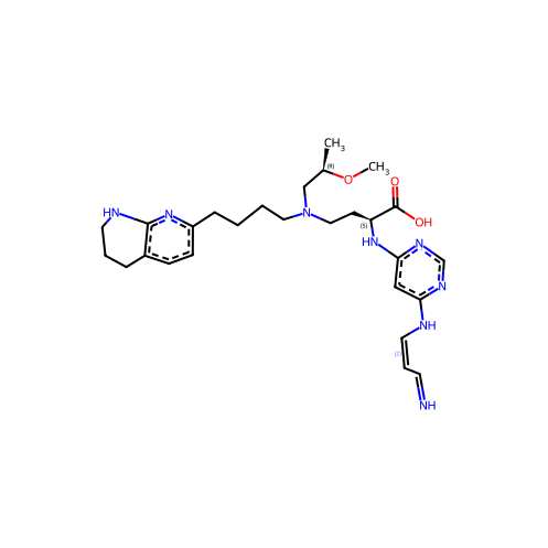 CO[C@H](C)CN(CCCCc1ccc2c(n1)NCCC2)CC[C@H](Nc1cc(N/C=C\C=N)ncn1)C(=O)O